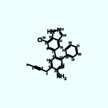 CC#CCc1nc(-c2cc(Cl)c3[nH]ncc3c2)c(-c2ccccc2)nc1N